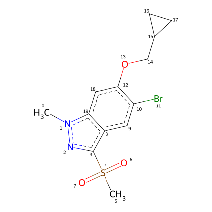 Cn1nc(S(C)(=O)=O)c2cc(Br)c(OCC3CC3)cc21